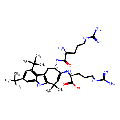 CC(C)(C)c1cc(C(C)(C)C)c2c3c([nH]c2c1)C(C)(C)C=C(N[C@@H](CCCNC(=N)N)C(=O)O)[C@@H](NC(=O)[C@@H](N)CCCNC(=N)N)C3